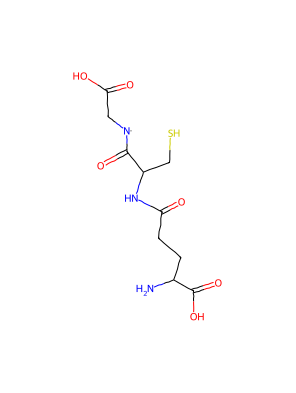 NC(CCC(=O)NC(CS)C(=O)[N]CC(=O)O)C(=O)O